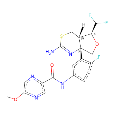 COc1cnc(C(=O)Nc2ccc(F)c([C@]34CO[C@H](C(F)F)[C@H]3CSC(N)=N4)c2)cn1